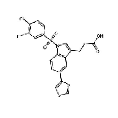 O=C(O)CCc1cn(S(=O)(=O)c2ccc(Cl)c(Cl)c2)c2ccc(-c3ccsc3)cc12